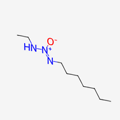 CCCCCCC/N=[N+](\[O-])NCC